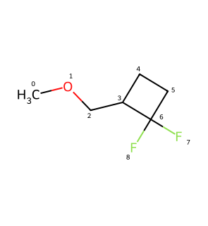 COCC1CCC1(F)F